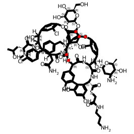 CN[C@H](CC(C)O)C(=O)N[C@H]1C(=O)N[C@@H](CC(N)=O)C(=O)N[C@H]2C(=O)N[C@H]3C(=O)N[C@H](C(=O)N[C@H](C(=O)SCC(=O)NCCCN)c4cc(O)cc(O)c4-c4cc3ccc4O)[C@H](O[C@H]3C[C@](C)(N)[C@@H](O)[C@H](C)O3)c3ccc(c(Cl)c3)Oc3cc2cc(c3O[C@@H]2O[C@H](CO)[C@@H](O)[C@H](O)[C@H]2O[C@H]2C[C@](C)(NCc3ccc(-c4ccc(Cl)cc4)cc3)[C@@H](O)[C@H](C)O2)Oc2ccc(cc2Cl)[C@H]1O